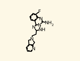 NC1=Nc2c(F)cccc2C2=NC(CCN3Cc4cccnc4C3)NN12